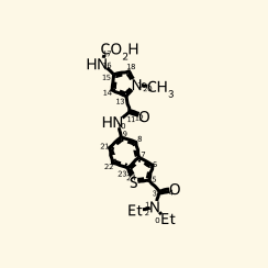 CCN(CC)C(=O)c1cc2cc(NC(=O)c3cc(NC(=O)O)cn3C)ccc2s1